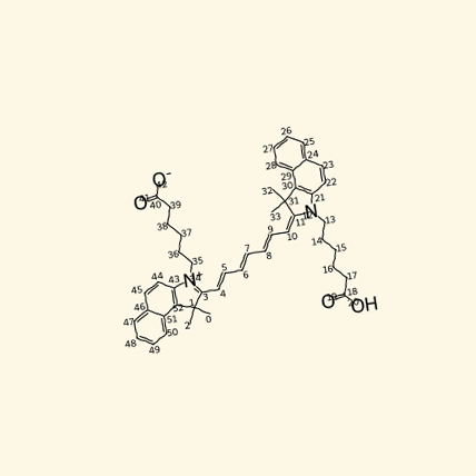 CC1(C)C(/C=C/C=C/C=C/C=C2/N(CCCCCC(=O)O)c3ccc4ccccc4c3C2(C)C)=[N+](CCCCCC(=O)[O-])c2ccc3ccccc3c21